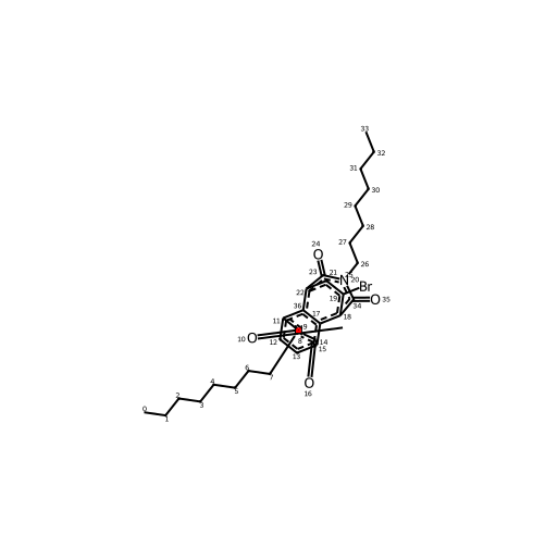 CCCCCCCCn1c(=O)c2ccc(c1=O)c1c3c(Br)cc(c(=O)n(CCCCCCCC)c3=O)c21